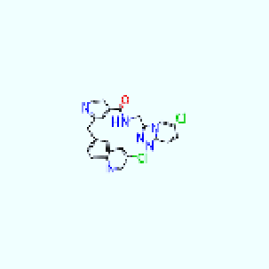 O=C(NCc1nnc2ccc(Cl)cn12)c1ccnc(Cc2ccc3ncc(Cl)cc3c2)c1